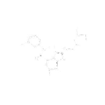 CN1CCOC(CNc2nc3c(F)c(F)cc(C(=N)N(O)c4ccc(F)c(Cl)c4)c3[nH]2)C1